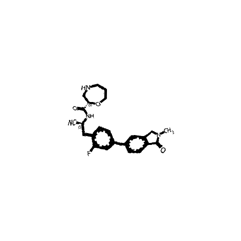 CN1Cc2cc(-c3ccc(C[C@@H](C#N)NC(=O)[C@@H]4CNCCCO4)c(F)c3)ccc2C1=O